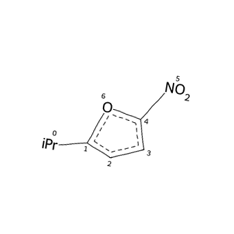 CC(C)c1ccc([N+](=O)[O-])o1